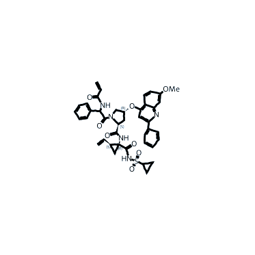 C=CC(=O)NC(C(=O)N1C[C@H](Oc2cc(-c3ccccc3)nc3cc(OC)ccc23)C[C@H]1C(=O)N[C@]1(C(=O)NS(=O)(=O)C2CC2)C[C@H]1C=C)c1ccccc1